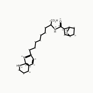 O=C(O)C(CCCCCCCc1ccc2c(n1)NCCC2)NC(=O)C1CC2CCC1O2